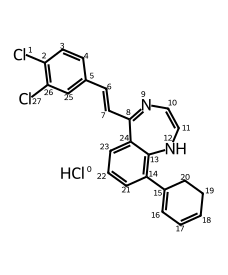 Cl.Clc1ccc(C=CC2=NC=CNc3c(C4=CC=CCC4)cccc32)cc1Cl